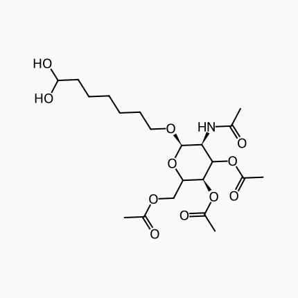 CC(=O)N[C@H]1C(OC(C)=O)[C@@H](OC(C)=O)C(COC(C)=O)O[C@H]1OCCCCCCC(O)O